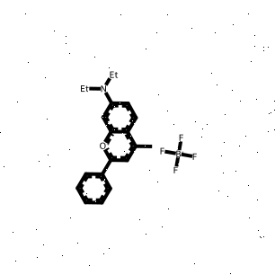 CCN(CC)c1ccc2c(C)cc(-c3ccccc3)[o+]c2c1.F[B-](F)(F)F